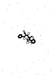 Cn1nc(C(=O)C(C#N)C(=O)c2ccccc2)c2c1-c1ccccc1SC2